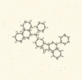 c1ccc(-c2cc3c4cc(N(c5ccccc5)c5cc6ccccc6c6ccccc56)ccc4oc3c3ccccc23)cc1